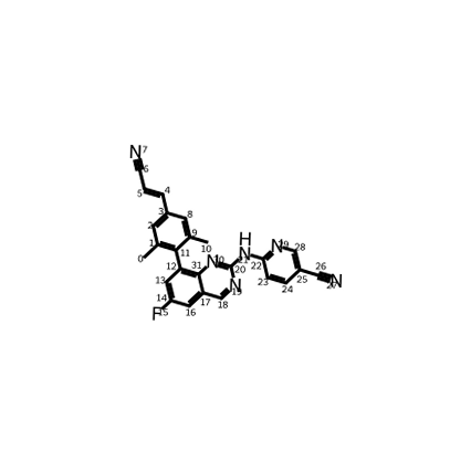 Cc1cc(/C=C/C#N)cc(C)c1-c1cc(F)cc2cnc(Nc3ccc(C#N)cn3)nc12